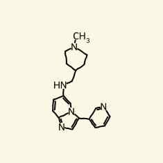 CN1CCC(CNc2ccc3ncc(-c4cccnc4)n3c2)CC1